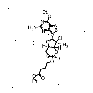 CCOc1nc(N)nc2c1ncn2[C@@H]1O[C@@H]2CO[P@](=O)(OCCCC(=O)OC(C)C)O[C@H]2[C@@]1(C)Cl